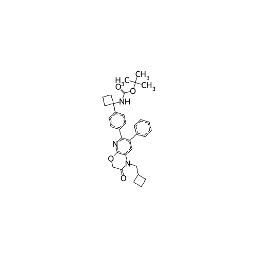 CC(C)(C)OC(=O)NC1(c2ccc(-c3nc4c(cc3-c3ccccc3)N(CC3CCC3)C(=O)CO4)cc2)CCC1